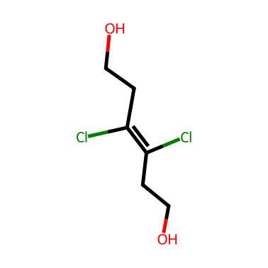 OCCC(Cl)=C(Cl)CCO